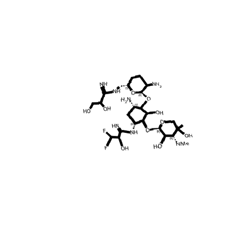 CN[C@@H]1C(O)[C@@H](OC2C(O)C(O[C@H]3O[C@H](CNC(=N)C(O)CO)CCC3N)[C@@H](N)C[C@H]2NC(=N)C(O)C(F)F)OCC1(C)O